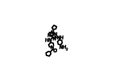 N[C@H]1CC[C@H](Nc2nc(NC3CCN(C(=O)C4CCCCC4)CC3)c3ncn(C4CCCC4)c3n2)CC1